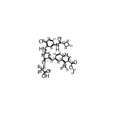 CCOC(=O)c1cnc2ccc(/C=C3\SC(Nc4cc(NC(=O)C5CCC5)ccc4Cl)=NC3=O)cc2c1N(C)C.O=C(O)C(F)(F)F